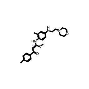 CS/C(=C\C(=O)c1ccc(C)cc1)Nc1ccc(NCCN2CCOCC2)cc1C